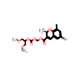 Cc1cc(Br)cc2c1O[C@H](C(F)(F)F)C(C(=O)OCOC(=O)OC(CO[N+](=O)[O-])CO[N+](=O)[O-])=C2